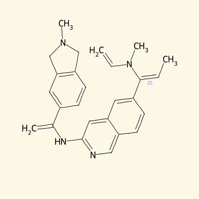 C=CN(C)/C(=C\C)c1ccc2cnc(NC(=C)c3ccc4c(c3)CN(C)C4)cc2c1